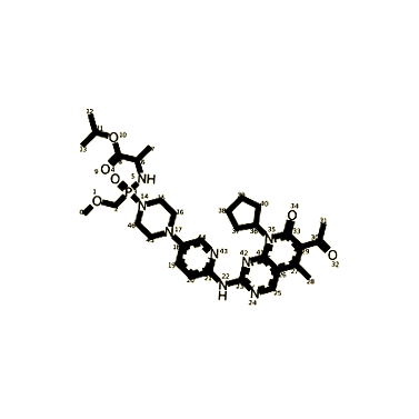 COCP(=O)(NC(C)C(=O)OC(C)C)N1CCN(c2ccc(Nc3ncc4c(C)c(C(C)=O)c(=O)n(C5CCCC5)c4n3)nc2)CC1